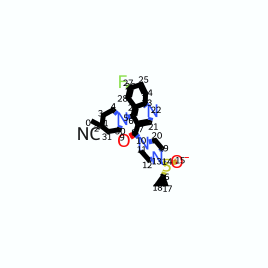 CC1(C#N)CCN(c2c(C(=O)N3CCN([S+]([O-])C4CC4)CC3)cnc3ccc(F)cc23)CC1